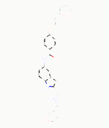 Cn1c(CNCC2CCOC2)cc2cc(NC(=O)c3ccc(OCC[C@@H]4CCCO4)cc3)ccc21